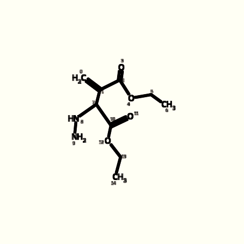 C=C(C(=O)OCC)C(NN)C(=O)OCC